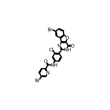 O=C(Nc1ccc(-c2nc3c(oc4ccc(Br)cc43)c(=O)[nH]2)c(Cl)c1)c1ccc(Br)cn1